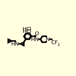 Cl.Cl.O=C(NC1CCN(CC(F)(F)F)CC1)c1cccc(C2CC2NCC2CC2)c1